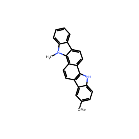 COc1ccc2[nH]c3c(ccc4c3ccc3c5ccccc5n(C)c43)c2c1